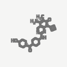 Cc1c(N)c2cnc(NC3CCC(C(=O)N4CCC(O)CC4)CC3)nc2n(C2=CC=C2)c1=O